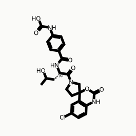 CC(O)C[C@H](NC(=O)c1ccc(NC(=O)O)cc1)C(=O)N1CCC2(C1)OC(=O)Nc1ccc(Cl)cc12